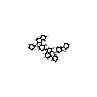 C1=CCC2C(=C1)Sc1cc(N(c3ccc(-c4ccc5c(c4)c4c6ccccc6ccc4n5-c4ccccc4)cc3)c3ccccc3-c3ccccc3)ccc12